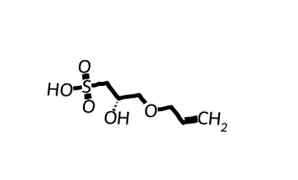 C=CCOC[C@H](O)CS(=O)(=O)O